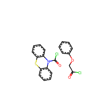 O=C(Cl)COc1ccccc1.O=C(Cl)N1c2ccccc2Sc2ccccc21